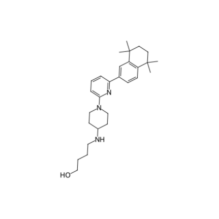 CC1(C)CCC(C)(C)c2cc(-c3cccc(N4CCC(NCCCCO)CC4)n3)ccc21